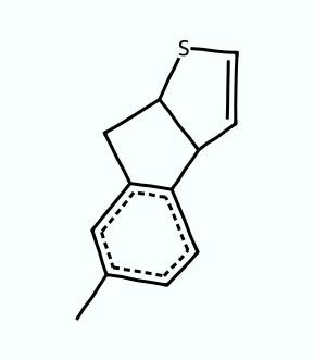 Cc1ccc2c(c1)CC1SC=CC21